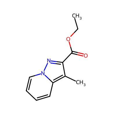 CCOC(=O)c1nn2ccccc2c1C